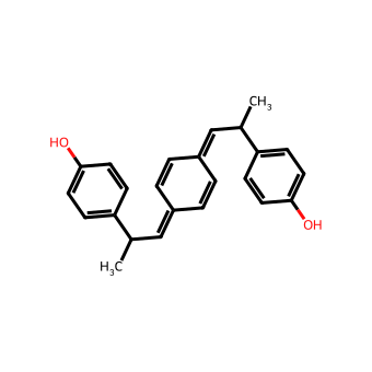 CC(C=c1ccc(=CC(C)c2ccc(O)cc2)cc1)c1ccc(O)cc1